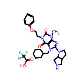 Cn1c(=O)n(CCOc2ccccc2)c(=O)c2c1nc(N1CCC3CNCC31)n2CC1CCCCC1.O=C(O)C(F)(F)F